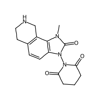 Cn1c(=O)n(N2C(=O)CCCC2=O)c2ccc3c(c21)CNCC3